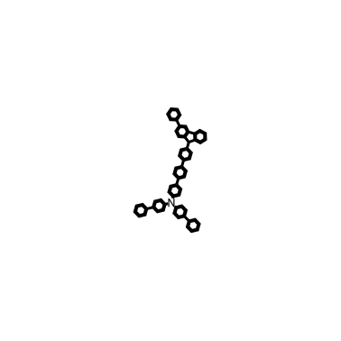 c1ccc(-c2ccc(N(c3ccc(-c4ccccc4)cc3)c3ccc(-c4ccc(-c5ccc(C6c7ccccc7-c7cc(-c8ccccc8)ccc76)cc5)cc4)cc3)cc2)cc1